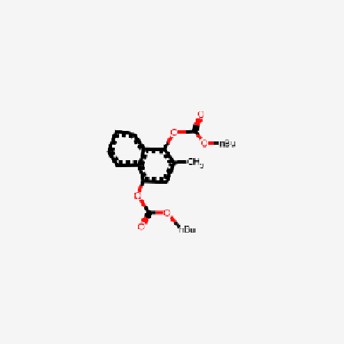 CCCCOC(=O)Oc1cc(C)c(OC(=O)OCCCC)c2ccccc12